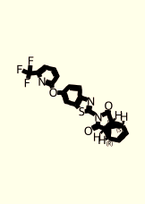 O=C1[C@@H]2[C@H](C(=O)N1c1nc3ccc(Oc4cccc(C(F)(F)F)n4)cc3s1)[C@@H]1C=C[C@H]2C1